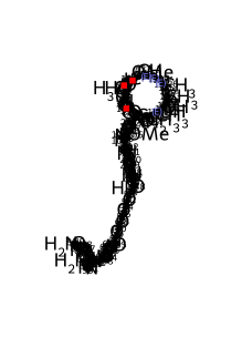 CO[C@H]1C[C@@H]2CC[C@@H](C)[C@@](O)(O2)C(=O)C(=O)N2CCCC[C@H]2C(=O)O[C@H]([C@H](N)C[C@@H]2CC[C@H](n3cc(-c4cnc(N5CCN(c6ncc(C(=O)NCCOCCOCCOCCOCCC(=O)N7CCc8cc(Cn9nc(-c%10ccc%11oc(N)nc%11c%10)c%10c(N)ncnc%109)ccc8C7)cn6)CC5)nc4)nn3)[C@H](OC)C2)CC(=O)[C@H](C)/C=C(\C)[C@@H](O)[C@@H](O)C(=O)[C@H](C)C[C@H](C)/C=C/C=C/C=C/1C